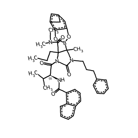 CCCC1(C(=O)N(C)C)N(C(=O)[C@@H](NC(=O)c2cccc3ccccc23)C(C)C)C(=O)N(CCCc2ccccc2)C1(C)B1Oc2cc3cc(c2O1)C3